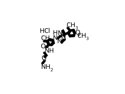 CCc1cc(Nc2nccn3c(-c4ccc(OC)cc4CC)cnc23)ccc1C(=O)NCCOCCN.Cl